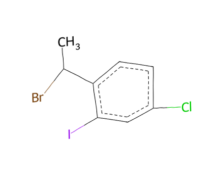 CC(Br)c1ccc(Cl)cc1I